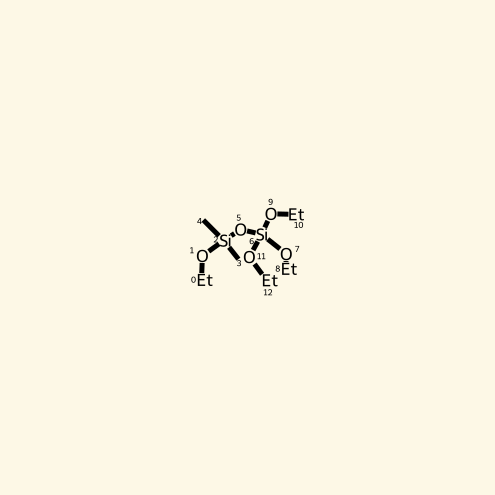 CCO[Si](C)(C)O[Si](OCC)(OCC)OCC